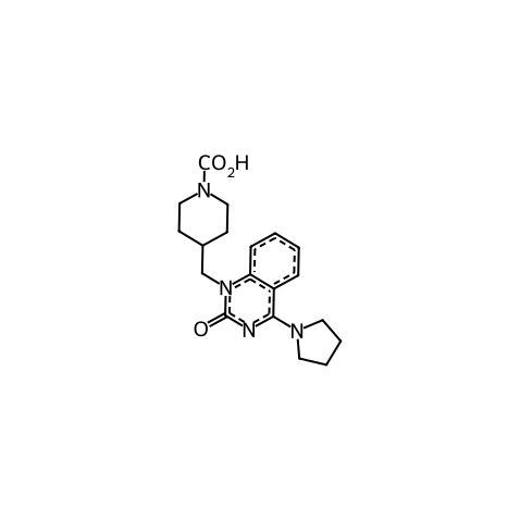 O=C(O)N1CCC(Cn2c(=O)nc(N3CCCC3)c3ccccc32)CC1